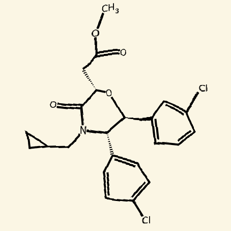 COC(=O)C[C@@H]1O[C@@H](c2cccc(Cl)c2)[C@H](c2ccc(Cl)cc2)N(CC2CC2)C1=O